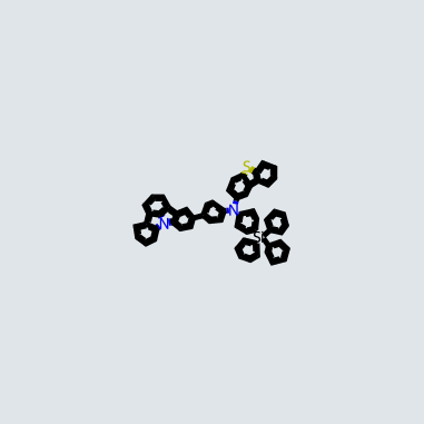 c1ccc([Si](c2ccccc2)(c2ccccc2)c2ccc(N(c3ccc(-c4ccc5c(c4)c4cccc6c7ccccc7n5c64)cc3)c3ccc4sc5ccccc5c4c3)cc2)cc1